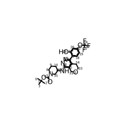 CC(C)(C)OC(=O)N1CCC[C@@H](Nc2nnc(-c3ccc(OC(F)(F)F)cc3O)c3c2COCC3)C1